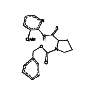 COc1cccnc1NC(=O)C1CCCN1C(=O)OCc1ccccc1